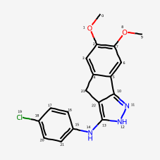 COc1cc2c(cc1OC)-c1n[nH]c(Nc3ccc(Cl)cc3)c1C2